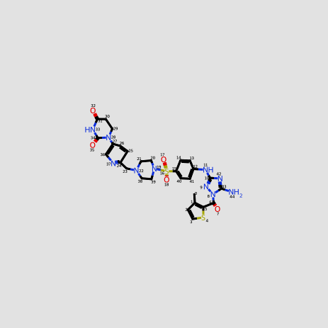 Cc1ccsc1C(=O)n1nc(Nc2ccc(S(=O)(=O)N3CCN(Cc4ccc(N5CCC(=O)NC5=O)cn4)CC3)cc2)nc1N